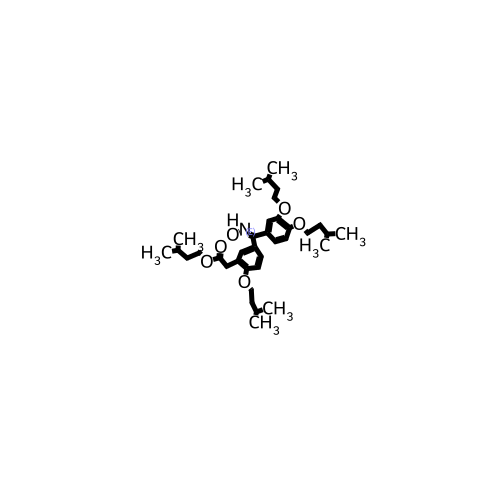 CC(C)CCOC(=O)Cc1cc(/C(=N\O)c2ccc(OCCC(C)C)c(OCCC(C)C)c2)ccc1OCCC(C)C